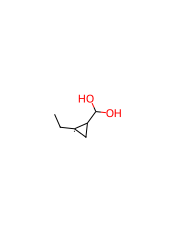 CC[C]1CC1C(O)O